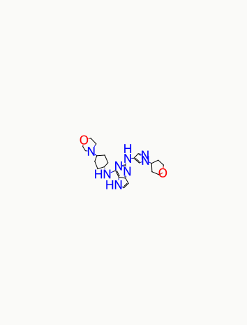 c1cc2nc(Nc3cnn(C4CCOCC4)c3)nc(N[C@H]3CC[C@H](N4CCOCC4)CC3)c2[nH]1